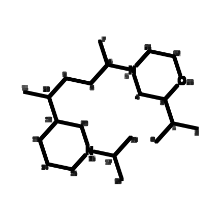 CC(C)C1CN(C(C)CCC(C)C2CCCN(C(C)C)C2)CCO1